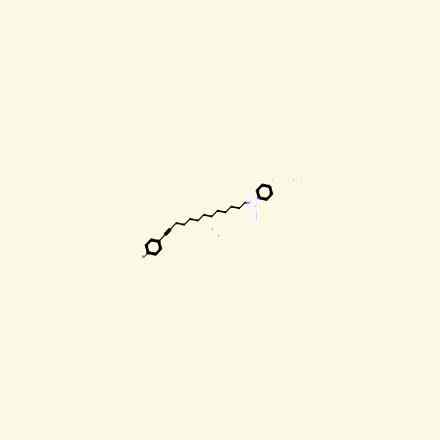 O=C([O-])c1ccc(NCCCCCCCCCCCC#Cc2ccc(Cl)cc2)cc1.[Na+]